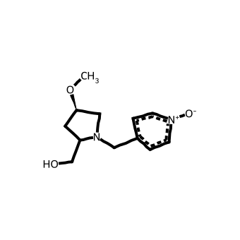 CO[C@@H]1CC(CO)N(Cc2cc[n+]([O-])cc2)C1